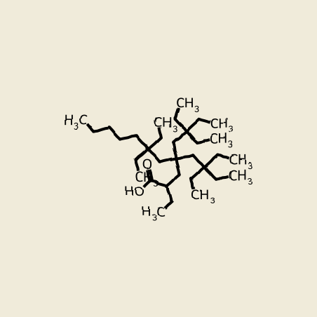 CCCCCC(CC)(CC)CC(CC(CC)C(=O)O)(CC(CC)(CC)CC)CC(CC)(CC)CC